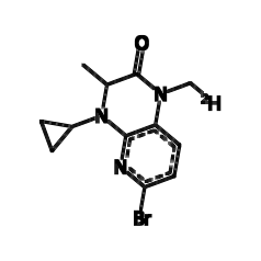 [2H]CN1C(=O)C(C)N(C2CC2)c2nc(Br)ccc21